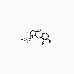 C[C@@H]1CC(=O)C(Cc2cccc(Br)c2F)N1C(=O)O